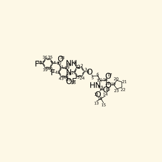 Cc1cc(OCC[C@H](NC(=O)OC(C)(C)C)C(=O)OC2CCCC2)cc(F)c1-n1c(N)c(C(=O)c2ccc(F)cc2F)ccc1=O